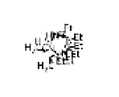 C=CN1[SiH2]N[SiH](CC)N(CC)[Si](CC)(CC)N(CC)[Si]1(C=C)CC